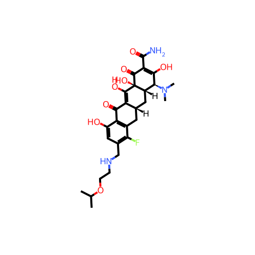 CC(C)OCCNCc1cc(O)c2c(c1F)C[C@H]1C[C@H]3[C@H](N(C)C)C(O)=C(C(N)=O)C(=O)[C@@]3(O)C(O)=C1C2=O